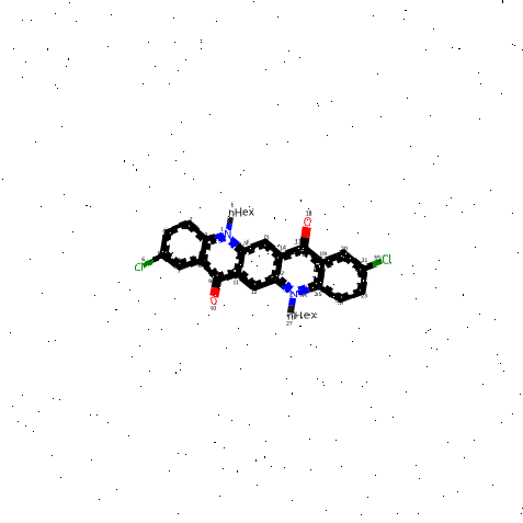 CCCCCCn1c2ccc(Cl)cc2c(=O)c2cc3c(cc21)c(=O)c1cc(Cl)ccc1n3CCCCCC